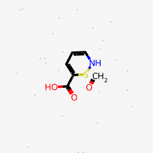 C=O.O=C(O)C1=CC=CNS1